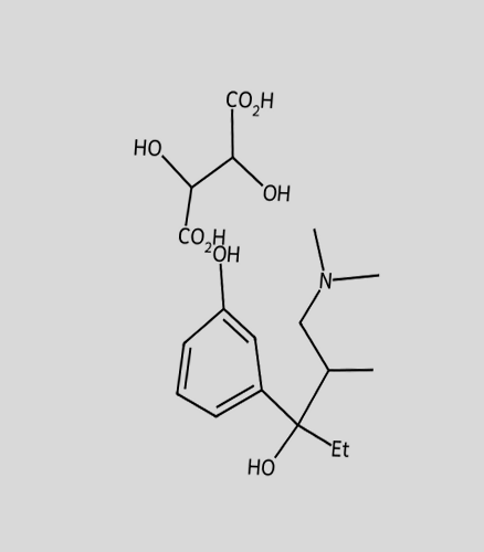 CCC(O)(c1cccc(O)c1)C(C)CN(C)C.O=C(O)C(O)C(O)C(=O)O